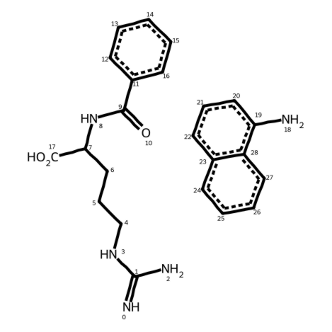 N=C(N)NCCCC(NC(=O)c1ccccc1)C(=O)O.Nc1cccc2ccccc12